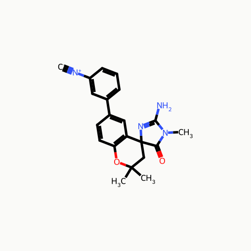 [C-]#[N+]c1cccc(-c2ccc3c(c2)C2(CC(C)(C)O3)N=C(N)N(C)C2=O)c1